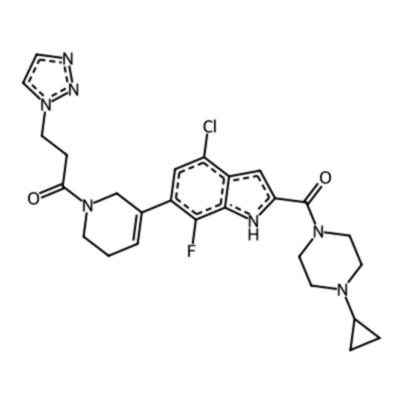 O=C(CCn1ccnn1)N1CCC=C(c2cc(Cl)c3cc(C(=O)N4CCN(C5CC5)CC4)[nH]c3c2F)C1